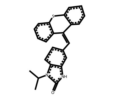 CC(C)n1c(=O)[nH]c2cc(C=C3c4ccccc4Sc4ccccc43)ccc21